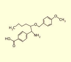 CCCCC(OCc1ccc(OC)cc1)C(N)c1ccc(C(=O)O)cc1